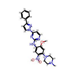 COc1cc(N2CCN(C)CC2)c([N+](=O)[O-])cc1Nc1nccc(-n2ccc(-c3ccccc3)n2)n1